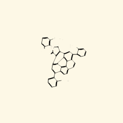 CC(C)(C)c1ccccc1-c1cc2c3c(=O)n(-c4c(C(C)(C)C)cccc4C(C)(C)C)c(=O)c3c3cc(-c4ccccc4C(C)(C)C)c4ccc5ccc1c1c5c4c3c21